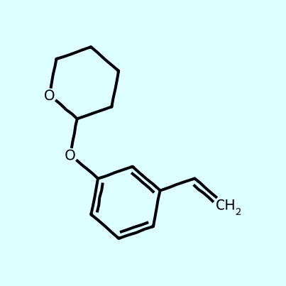 C=Cc1cccc(OC2CCCCO2)c1